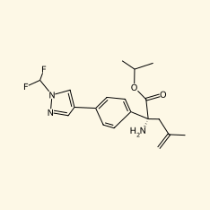 C=C(C)C[C@](N)(C(=O)OC(C)C)c1ccc(-c2cnn(C(F)F)c2)cc1